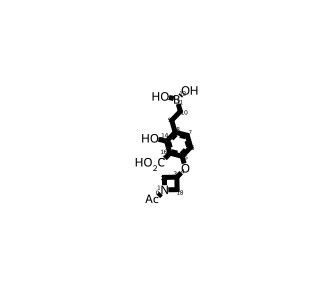 CC(=O)N1CC(Oc2ccc(CCB(O)O)c(O)c2C(=O)O)C1